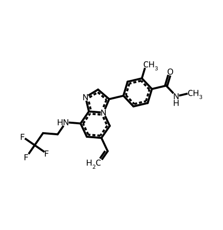 C=Cc1cc(NCCC(F)(F)F)c2ncc(-c3ccc(C(=O)NC)c(C)c3)n2c1